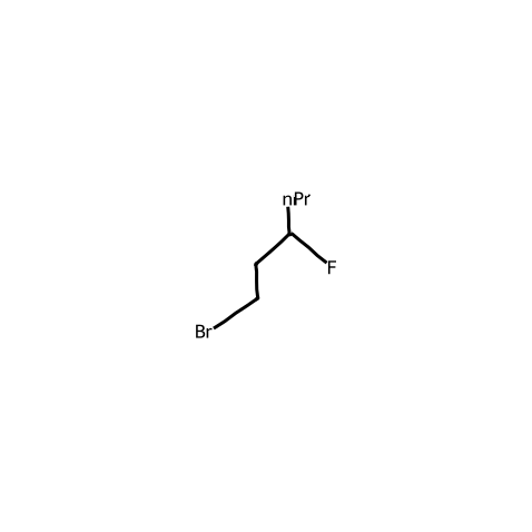 CCCC(F)CCBr